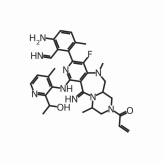 C=CC(=O)N1CC(C)N2C(=N)c3c(Nc4c(C)ccnc4C(C)O)nc(-c4c(C)ccc(N)c4C=N)c(F)c3N(C)CC2C1